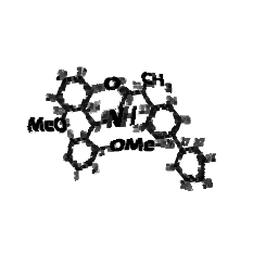 COc1ccccc1C(NC(=O)C(C)c1ccc(-c2ccccc2)cc1)c1ccccc1OC